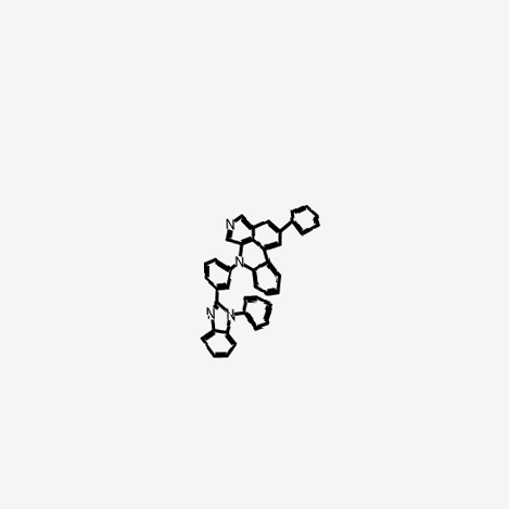 c1ccc(-c2cc3c4c(cncc4c2)N(c2cccc(-c4nc5ccccc5n4-c4ccccc4)c2)c2ccccc2-3)cc1